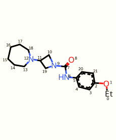 CCOc1ccc(NC(=O)N2CC(N3CCCCCC3)C2)cc1